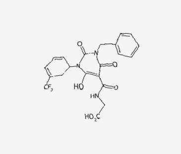 O=C(O)CNC(=O)c1c(O)n(C2C=CC=C(C(F)(F)F)C2)c(=O)n(Cc2ccccc2)c1=O